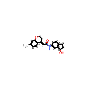 O=C(/C=C1\CCOc2cc(C(F)(F)F)ccc21)Nc1ccc2c(c1)C(O)CC2